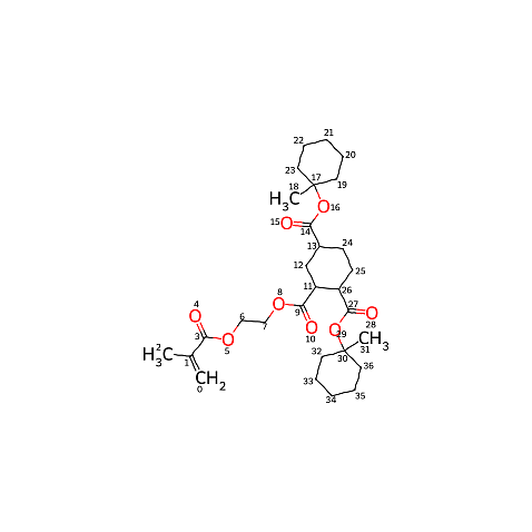 C=C(C)C(=O)OCCOC(=O)C1CC(C(=O)OC2(C)CCCCC2)CCC1C(=O)OC1(C)CCCCC1